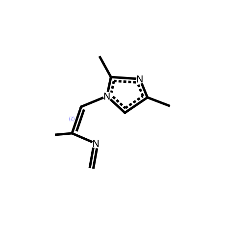 C=N/C(C)=C\n1cc(C)nc1C